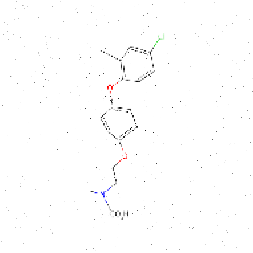 Cc1cc(Cl)ccc1Oc1ccc(OCCN(C)C(=O)O)cc1